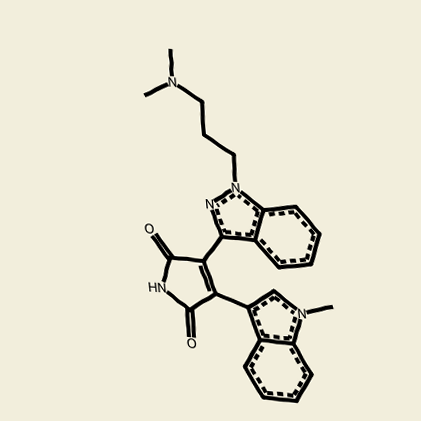 CN(C)CCCn1nc(C2=C(c3cn(C)c4ccccc34)C(=O)NC2=O)c2ccccc21